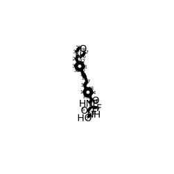 O=C(NC(C(=O)NO)C(F)(F)F)c1ccc(/C=C/C#Cc2ccc(CN3CCOCC3)cc2)cc1